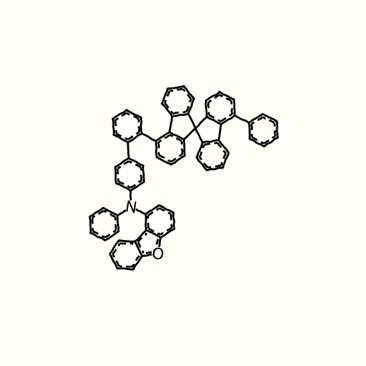 c1ccc(-c2cccc3c2-c2ccccc2C32c3ccccc3-c3c(-c4ccccc4-c4ccc(N(c5ccccc5)c5cccc6oc7ccccc7c56)cc4)cccc32)cc1